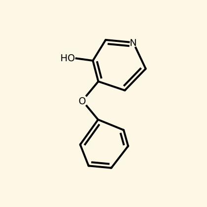 Oc1cnccc1Oc1ccccc1